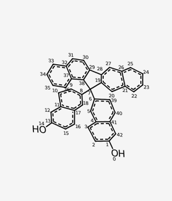 Oc1ccc2cc(C3(c4ccc5cc(O)ccc5c4)c4cc5ccccc5cc4-c4ccc5ccccc5c43)ccc2c1